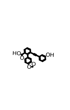 O=C(O)c1cccc(C#Cc2cccc(O)c2)c1-c1ccc2c(c1)OCO2